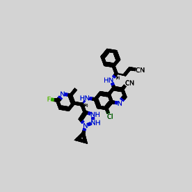 Cc1nc(F)ccc1[C@@H](Nc1cc(Cl)c2ncc(C#N)c(N[C@H](CCC#N)c3ccccc3)c2c1)C1=CN(C2CC2)NN1